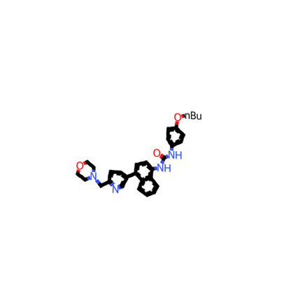 CCCCOc1ccc(NC(=O)Nc2ccc(-c3ccc(CN4CCOCC4)nc3)c3ccccc23)cc1